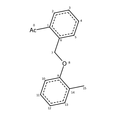 CC(=O)c1ccccc1COc1ccccc1C